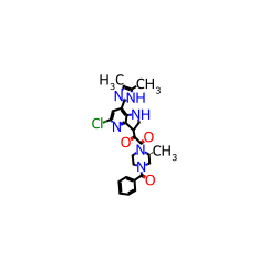 Cc1nc(-c2cc(Cl)nc3c2NCC3C(=O)C(=O)N2CCN(C(=O)c3ccccc3)C[C@H]2C)[nH]c1C